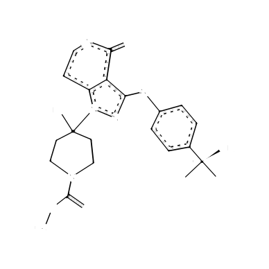 CCC1(n2nc(Nc3ccc([C@@](C)(O)C(F)(F)F)cc3)c3c(=O)[nH]ccc32)CCN(C(=O)OC(C)(C)C)CC1